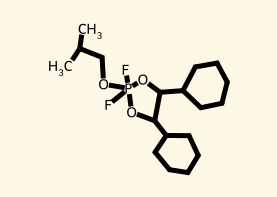 CC(C)COP1(F)(F)OC(C2CCCCC2)C(C2CCCCC2)O1